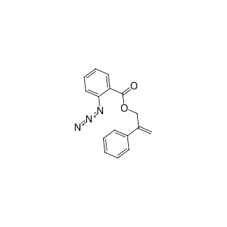 C=C(COC(=O)c1ccccc1N=[N+]=[N-])c1ccccc1